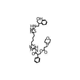 O=C(CCN1CCOCC1)OCC(C(=O)Nc1nnc(CCCCc2nnc(NCC(CO)c3ccccc3)s2)s1)c1ccccc1